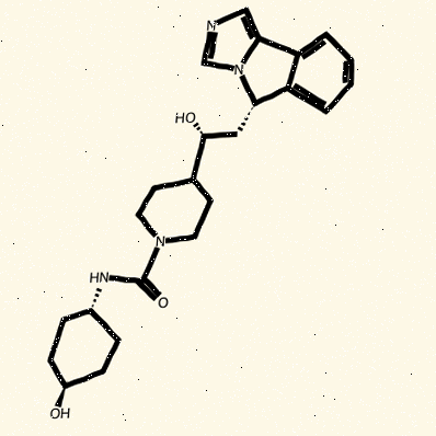 O=C(N[C@H]1CC[C@H](O)CC1)N1CCC([C@H](O)C[C@H]2c3ccccc3-c3cncn32)CC1